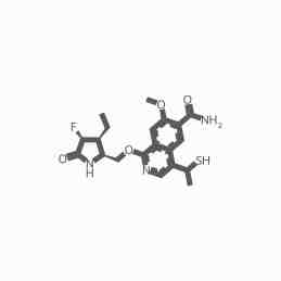 CC[C@@H]1[C@H](F)C(=O)N[C@@H]1COc1ncc(C(C)S)c2cc(C(N)=O)c(OC)cc12